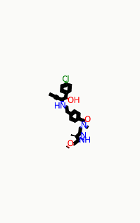 CC#CC(NCCc1ccc(C(=O)N(C)CC2=NNC(COC)[C@H]2C)cc1)[C@H](O)c1ccc(Cl)cc1